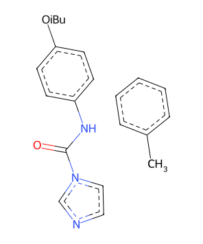 CC(C)COc1ccc(NC(=O)n2ccnc2)cc1.Cc1ccccc1